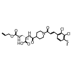 C=CCOC(=O)NC[C@H](NC(=O)C1CCN(C(=O)C=Cc2ccc(SC)c(Cl)c2Cl)CC1)C(=O)O